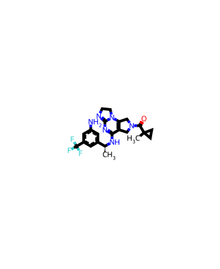 C[C@@H](NC1=NC2=NCCN2C2=C1CN(C(=O)C1(C)CC1)C2)c1cc(N)cc(C(F)(F)F)c1